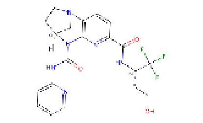 O=C(N[C@@H](CCO)C(F)(F)F)c1ccc2c(n1)N(C(=O)Nc1ccccn1)[C@H]1CCN2C1